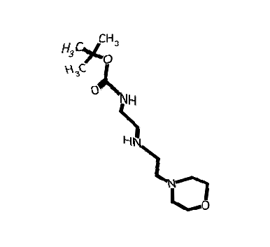 CC(C)(C)OC(=O)NCCNCCN1CCOCC1